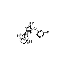 CC(C)n1nc(N[C@H]2[C@@H]3CC[C@H]2CN(C#N)C3)nc1Oc1cccc(F)c1